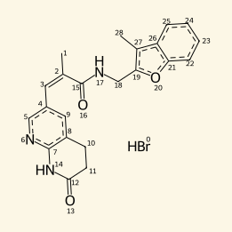 Br.CC(=Cc1cnc2c(c1)CCC(=O)N2)C(=O)NCc1oc2ccccc2c1C